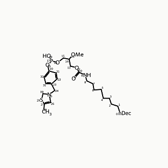 CCCCCCCCCCCCCCCCCCNC(=O)OCC(COP(O)Oc1ccc(CN2C=C(C)SC2)cc1)OC